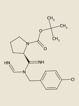 CC(C)(C)OC(=O)N1CCC[C@@H]1C(=N)N(C=N)Cc1ccc(Cl)cc1